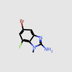 Cn1c(N)nc2cc(Br)cc(F)c21